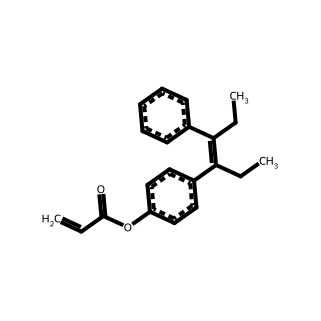 C=CC(=O)Oc1ccc(C(CC)=C(CC)c2ccccc2)cc1